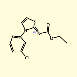 CCOC(=O)/N=c1\sccn1-c1cccc(Cl)c1